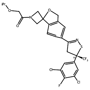 CC(C)OCC(=O)N1CC2(C1)OCc1cc(C3=NS[C@@](c4cc(Cl)c(F)c(Cl)c4)(C(F)(F)F)C3)ccc12